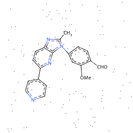 COc1cc(-n2c(C)nc3ccc(-c4ccncc4)nc32)ccc1C=O